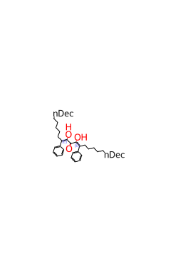 CCCCCCCCCCCCCCC/C(=C(\O)C(=O)/C(O)=C(/CCCCCCCCCCCCCCC)c1ccccc1)c1ccccc1